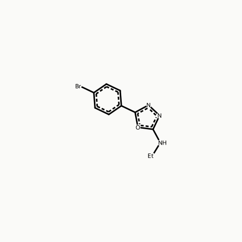 CCNc1nnc(-c2ccc(Br)cc2)o1